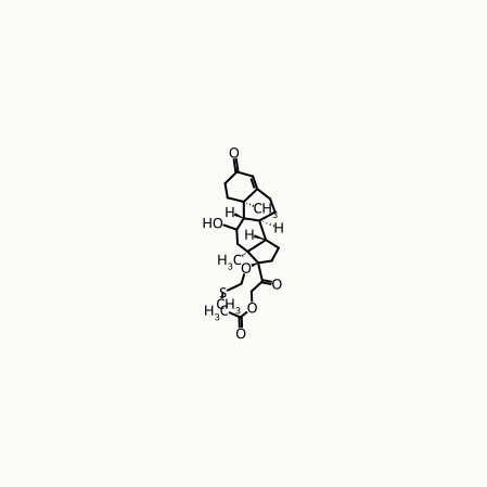 CSCO[C@]1(C(=O)COC(C)=O)CC[C@H]2[C@@H]3CCC4=CC(=O)CC[C@]4(C)[C@H]3C(O)C[C@@]21C